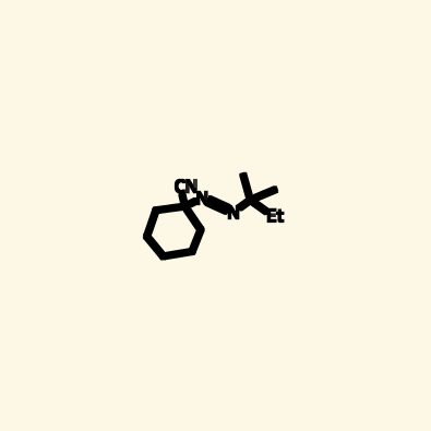 CCC(C)(C)N=NC1(C#N)CCCCC1